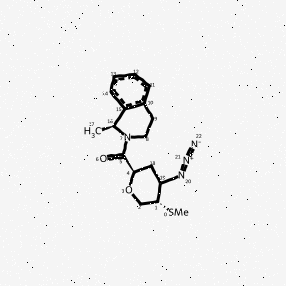 CS[C@@H]1CO[C@@H](C(=O)N2CCc3ccccc3[C@@H]2C)CC1N=[N+]=[N-]